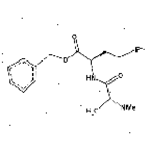 CN[C@H](C)C(=O)N[C@H](CCC(C)C)C(=O)OCc1ccccc1